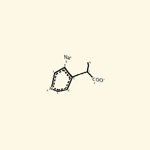 CC(C(=O)[O-])c1ccncc1.[Na+]